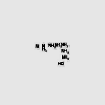 Cl.N.N.N.N.N.N.[Ni]